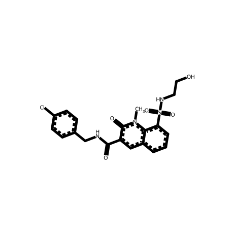 Cn1c(=O)c(C(=O)NCc2ccc(Cl)cc2)cc2cccc(S(=O)(=O)NCCO)c21